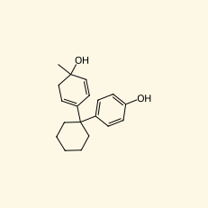 CC1(O)C=CC(C2(c3ccc(O)cc3)CCCCC2)=CC1